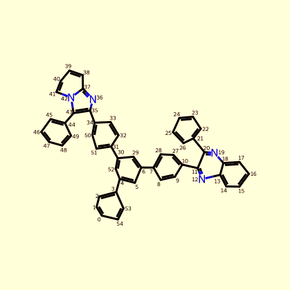 c1ccc(-c2cc(-c3ccc(-c4nc5ccccc5nc4-c4ccccc4)cc3)cc(-c3ccc(-c4nc5ccccn5c4-c4ccccc4)cc3)c2)cc1